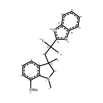 COc1cccc2c1N(C)CC2(C)CC(F)(F)c1nc2ccccc2o1